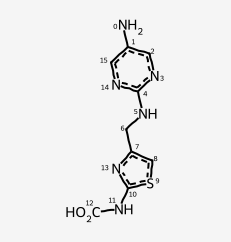 Nc1cnc(NCc2csc(NC(=O)O)n2)nc1